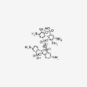 Cc1cc(-c2cc(C)c(N)cc2S(=O)(=O)O)c(S(=O)(=O)O)cc1N.Nc1ccc(/C=C/c2ccc(N)cc2S(=O)(=O)O)c(S(=O)(=O)O)c1